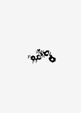 CC(C)Nc1nc2c(nc1N1CCC(C(F)c3ccc(F)cc3F)CC1)CN(Cc1ccccc1)CC2